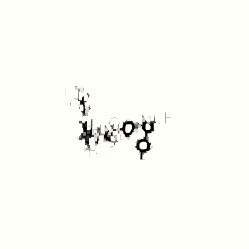 CC[C@@H](C)[C@@H](COC(=O)NS(=O)(=O)c1ccc(-n2nc(C(F)(F)F)cc2-c2ccc(C)cc2)cc1)N(C)[N+]([O-])=NOCOC(=O)OC(C)C